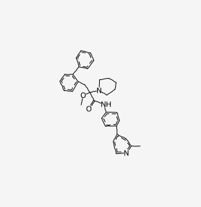 COC(Cc1ccccc1-c1ccccc1)(C(=O)Nc1ccc(-c2ccnc(C)c2)cc1)N1CCCCC1